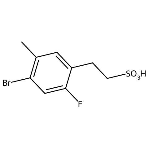 Cc1cc(CCS(=O)(=O)O)c(F)cc1Br